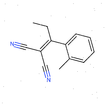 CCC(=C(C#N)C#N)c1ccccc1C